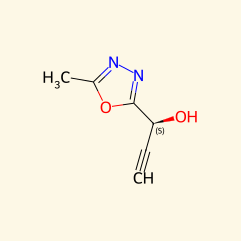 C#C[C@H](O)c1nnc(C)o1